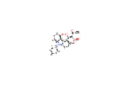 O=C(c1c(O)c2c(ccc3c2c2ccccc2n3-c2ccccc2)oc1=O)C(F)(F)F